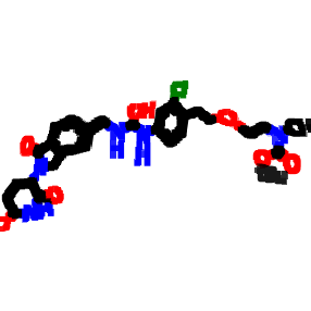 CN(CCOCCc1ccc(NC(O)NCc2ccc3c(c2)CN(C2CCC(=O)NC2=O)C3=O)cc1Cl)C(=O)OC(C)(C)C